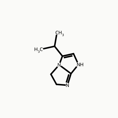 CC(C)C1=CNC2=NCCN12